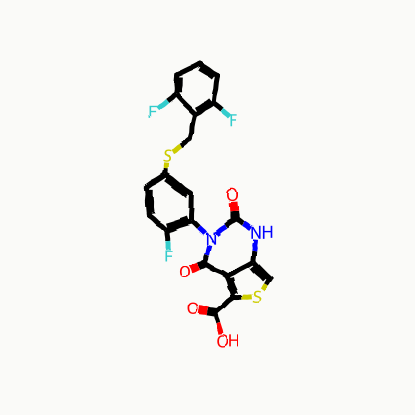 O=C(O)c1scc2[nH]c(=O)n(-c3cc(SCc4c(F)cccc4F)ccc3F)c(=O)c12